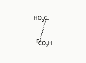 O=C(O)C(F)CCCCCCCCCCCCCCCCC(F)C(=O)O